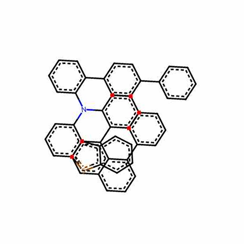 c1ccc(-c2ccc(-c3ccccc3N(c3ccccc3-c3cccc4cccc(-c5ccccc5)c34)c3cccc4sc5ccccc5c34)cc2)cc1